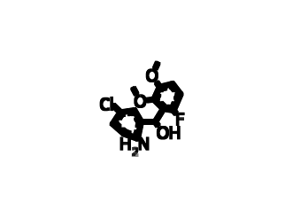 COc1ccc(F)c(C(O)c2cc(Cl)ccc2N)c1OC